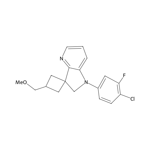 COCC1CC2(C1)CN(c1ccc(Cl)c(F)c1)c1cccnc12